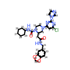 O=C(CC1CN(c2cc(Cl)nc(-n3ccnc3)n2)CCN1C(=O)NC1CCCCC1)NCc1ccc2c(c1)OCO2